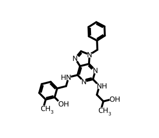 Cc1cccc(CNc2nc(NCC(C)O)nc3c2ncn3Cc2ccccc2)c1O